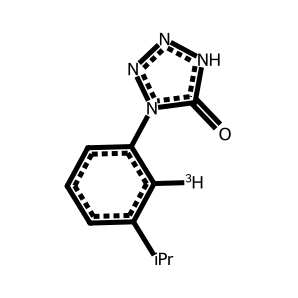 [3H]c1c(C(C)C)cccc1-n1nn[nH]c1=O